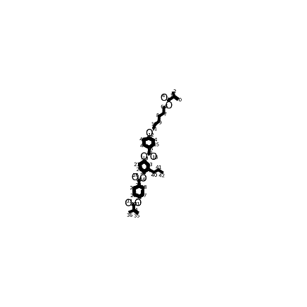 C=C(C)C(=O)OCCCCCCOc1ccc(C(=O)Oc2ccc(OC(=O)c3ccc(OC(=O)C(=C)C)cc3)c(CCC)c2)cc1